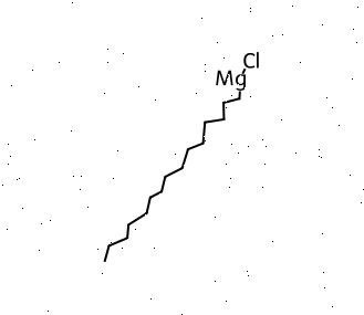 CCCCCCCCCCCCCC[CH2][Mg][Cl]